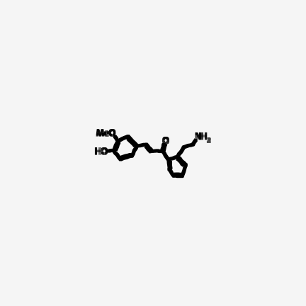 COc1cc(/C=C/C(=O)c2ccccc2CCN)ccc1O